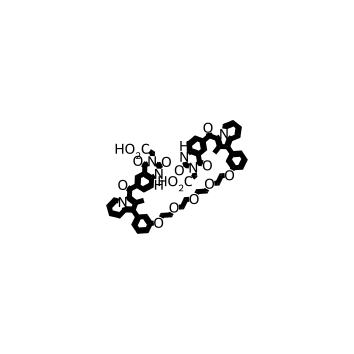 Cc1c(-c2cccc(OCCOCCOCCOCCOc3cccc(-c4c(C)c(C(=O)c5ccc6[nH]c(=O)n(CC(=O)O)c(=O)c6c5)n5ccccc45)c3)c2)c2ccccn2c1C(=O)c1ccc2[nH]c(=O)n(CC(=O)O)c(=O)c2c1